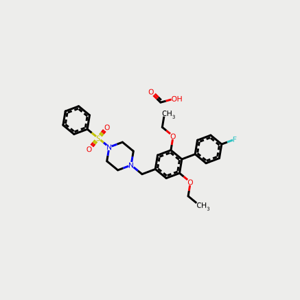 CCOc1cc(CN2CCN(S(=O)(=O)c3ccccc3)CC2)cc(OCC)c1-c1ccc(F)cc1.O=CO